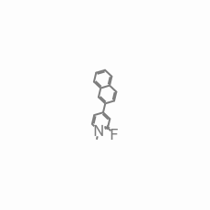 C[n+]1ccc(-c2ccc3ccccc3c2)cc1F